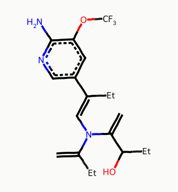 C=C(CC)N(/C=C(\CC)c1cnc(N)c(OC(F)(F)F)c1)C(=C)C(O)CC